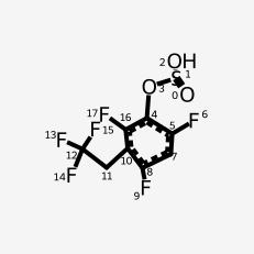 O=S(O)Oc1c(F)cc(F)c(CC(F)(F)F)c1F